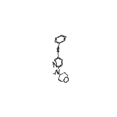 CN(c1ccc(C#Cc2ccccc2)cn1)C1CCOCC1